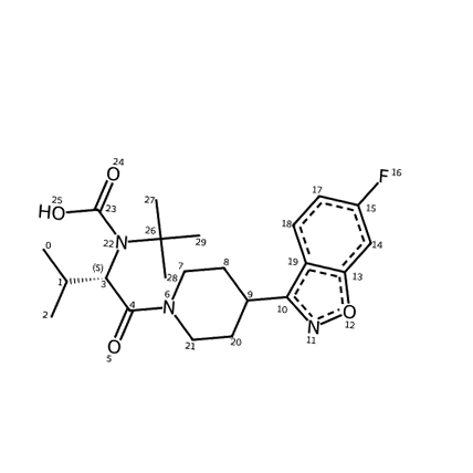 CC(C)[C@@H](C(=O)N1CCC(c2noc3cc(F)ccc23)CC1)N(C(=O)O)C(C)(C)C